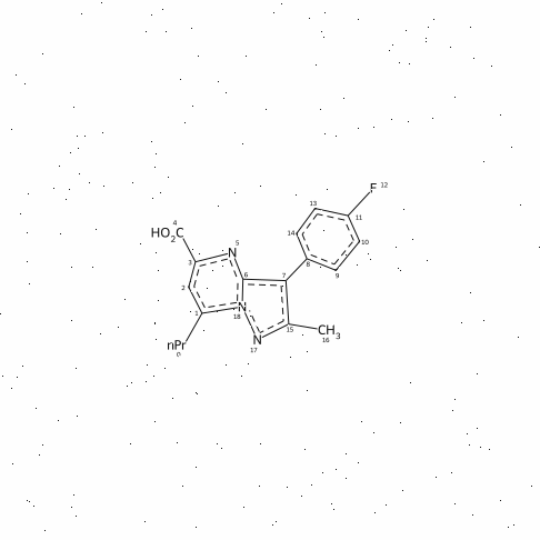 CCCc1cc(C(=O)O)nc2c(-c3ccc(F)cc3)c(C)nn12